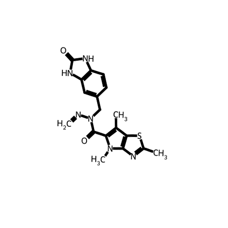 C=NN(Cc1ccc2[nH]c(=O)[nH]c2c1)C(=O)c1c(C)c2sc(C)nc2n1C